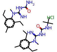 CCc1cc(C)cc(CC)c1N(C)C(=N)NC(=O)NC(C)(C)C.CCc1cc(C)cc(CC)c1N(C)C(=N)NC(N)=O.Cl